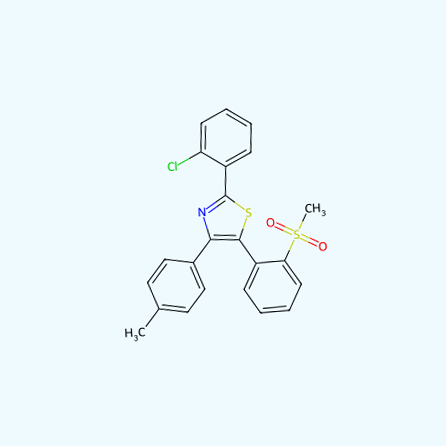 Cc1ccc(-c2nc(-c3ccccc3Cl)sc2-c2ccccc2S(C)(=O)=O)cc1